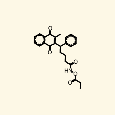 CCC(=O)ONC(=O)CCCC(C1=C(C)C(=O)c2ccccc2C1=O)c1ccccc1